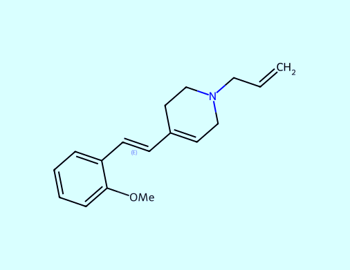 C=CCN1CC=C(/C=C/c2ccccc2OC)CC1